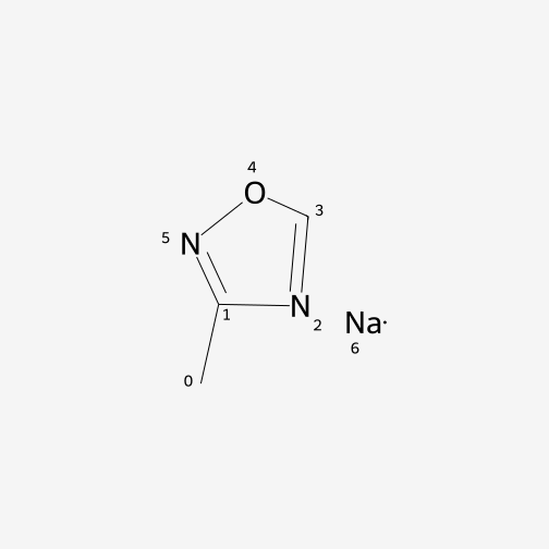 Cc1ncon1.[Na]